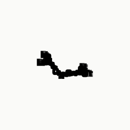 CCO[Si](C)(CCCCCOCCN(C)CCOCCCCC[Si](C)(OCC)OCC)OCC